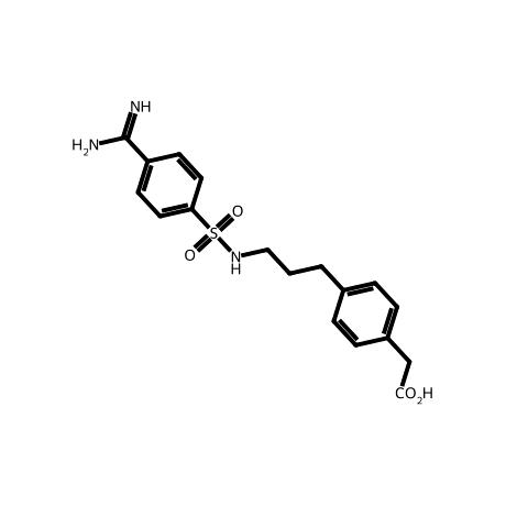 N=C(N)c1ccc(S(=O)(=O)NCCCc2ccc(CC(=O)O)cc2)cc1